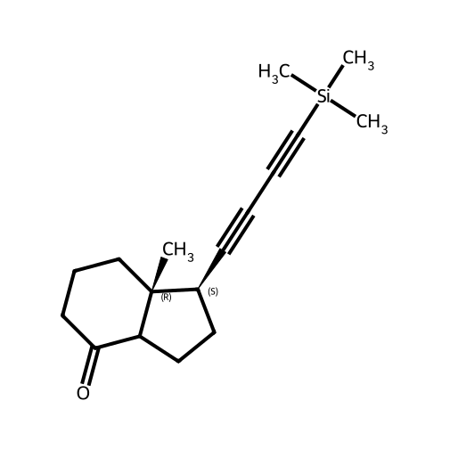 C[C@]12CCCC(=O)C1CC[C@@H]2C#CC#C[Si](C)(C)C